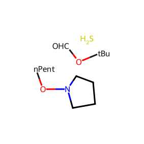 CC(C)(C)OC=O.CCCCCON1CCCC1.S